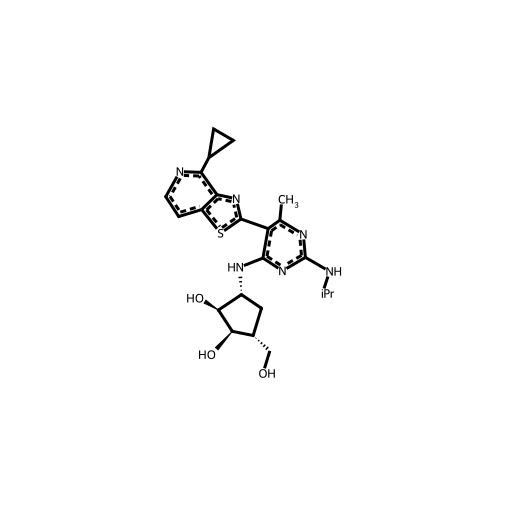 Cc1nc(NC(C)C)nc(N[C@@H]2C[C@H](CO)[C@@H](O)[C@H]2O)c1-c1nc2c(C3CC3)nccc2s1